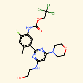 Cc1cc(F)c(NC(=O)OCC(Cl)(Cl)Cl)cc1-c1nc(NCCO)cc(N2CCOCC2)n1